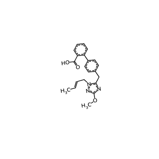 C/C=C/Cn1nc(OC)nc1Cc1ccc(-c2ccccc2C(=O)O)cc1